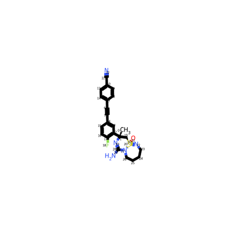 C[C@@]1(c2cc(C#Cc3ccc(C#N)cc3)ccc2F)C[S@@]2(=O)=NCCCCN2C(N)=N1